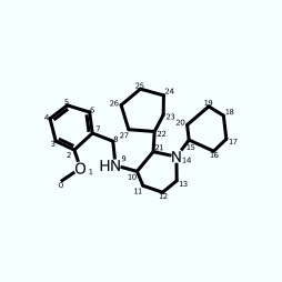 COc1ccccc1CNC1CCCN(C2CCCCC2)C1C1CCCCC1